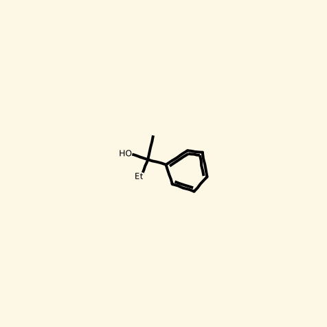 CCC(C)(O)C1=C=C=CC=C1